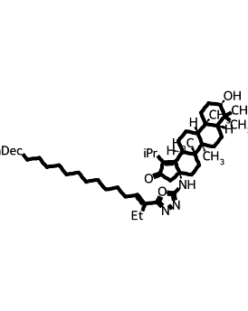 CCCCCCCCCCCCCCCCCCCCCC=C(CC)c1nnc(N[C@@]23CC[C@]4(C)[C@H](CC[C@@H]5[C@@]6(C)CC[C@H](O)C(C)(C)[C@@H]6CC[C@]54C)C2=C(C(C)C)C(=O)C3)o1